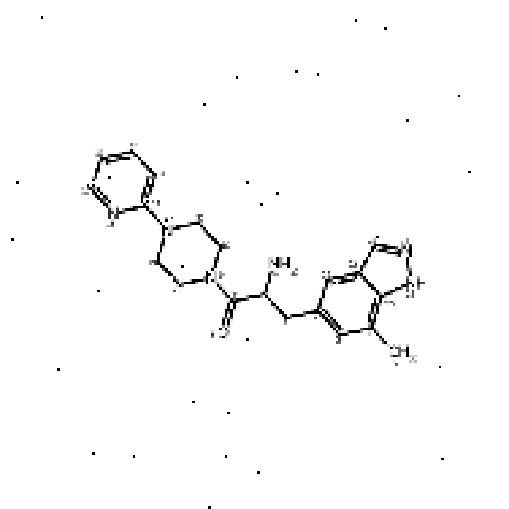 Cc1cc(CC(N)C(=O)N2CCN(c3ccccn3)CC2)cc2cn[nH]c12